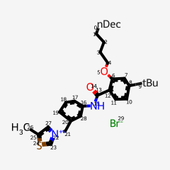 CCCCCCCCCCCCCCOc1cc(C(C)(C)C)ccc1C(=O)Nc1cccc(C[n+]2csc(C)c2)c1.[Br-]